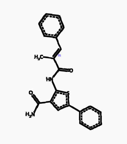 C/C(=C\c1ccccc1)C(=O)Nc1sc(-c2ccccc2)cc1C(N)=O